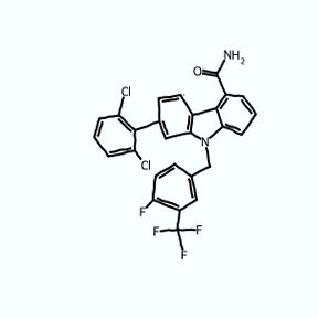 NC(=O)c1cccc2c1c1[c]cc(-c3c(Cl)cccc3Cl)cc1n2Cc1ccc(F)c(C(F)(F)F)c1